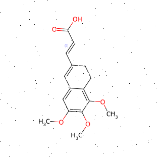 COc1cc2c(c(OC)c1OC)CCC(/C=C/C(=O)O)=C2